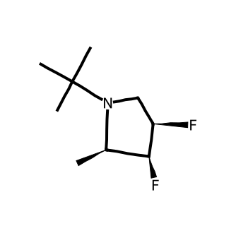 C[C@@H]1[C@H](F)[C@H](F)CN1C(C)(C)C